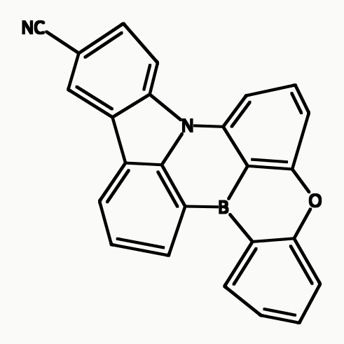 N#Cc1ccc2c(c1)c1cccc3c1n2-c1cccc2c1B3c1ccccc1O2